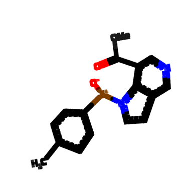 COC(=O)c1cncc2ccn([S+]([O-])c3ccc(C)cc3)c12